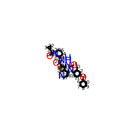 Cc1cc(Oc2ccccc2)ccc1N1C(=O)Nc2c(C(=O)N[C@@H]3CCCN(C(=O)C4CC4)C3)sc3nccc1c23